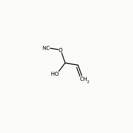 C=CC(O)OC#N